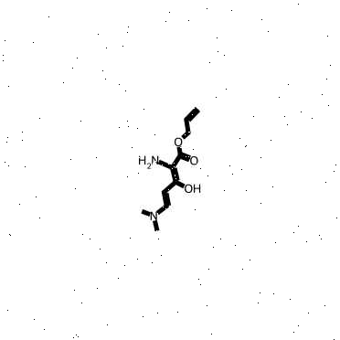 C=CCOC(=O)/C(N)=C(O)/C=C/N(C)C